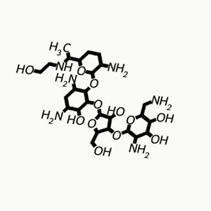 CC(NCCO)C1CCC(N)C(OC2C(N)CC(N)C(O)C2OC2OC(CO)C(OC3OC(CN)C(O)C(O)C3N)C2O)O1